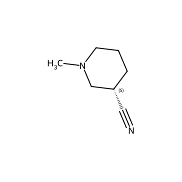 CN1CCC[C@H](C#N)C1